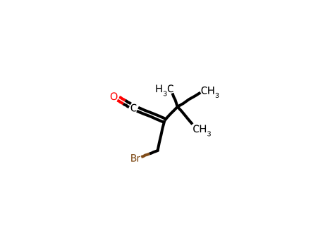 CC(C)(C)C(=C=O)CBr